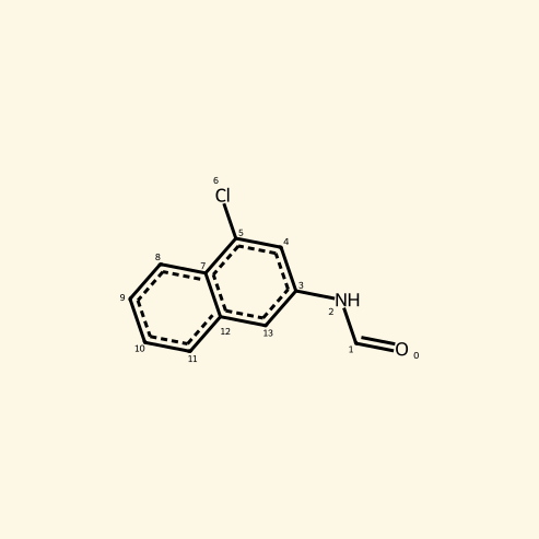 O=CNc1cc(Cl)c2ccccc2c1